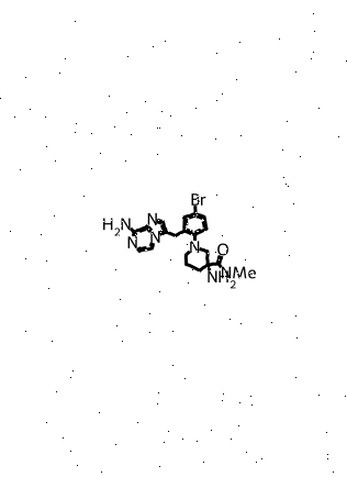 CNC(=O)C1(N)CCCN(c2ccc(Br)cc2Cc2cnc3c(N)nccn23)C1